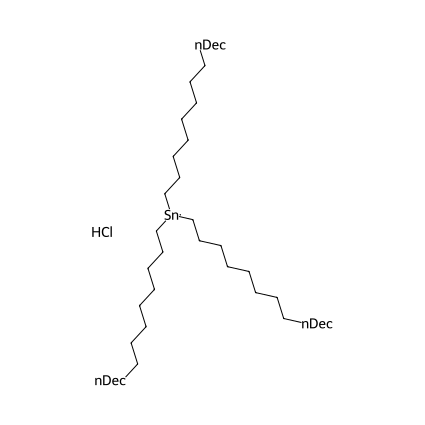 CCCCCCCCCCCCCCCCC[CH2][Sn]([CH2]CCCCCCCCCCCCCCCCC)[CH2]CCCCCCCCCCCCCCCCC.Cl